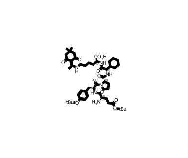 CC(NCCCC[C@H](NC(=O)[C@@H](NC(=O)[C@@H]1CCCN1C(=O)[C@H](Cc1ccc(OC(C)(C)C)cc1)NC(=O)[C@@H](N)CCC(=O)OC(C)(C)C)C1CCCCC1)C(=O)O)=C1C(=O)CC(C)(C)CC1=O